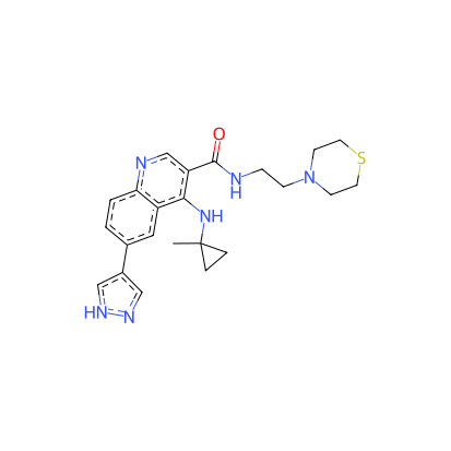 CC1(Nc2c(C(=O)NCCN3CCSCC3)cnc3ccc(-c4cn[nH]c4)cc23)CC1